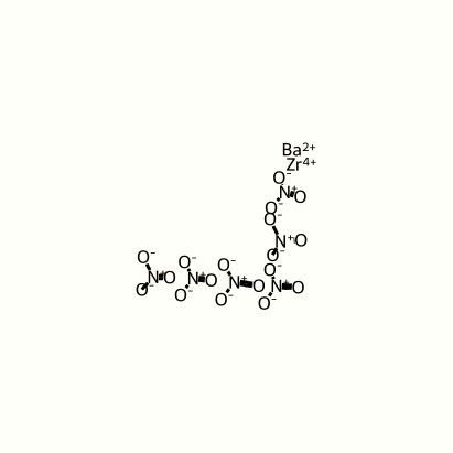 O=[N+]([O-])[O-].O=[N+]([O-])[O-].O=[N+]([O-])[O-].O=[N+]([O-])[O-].O=[N+]([O-])[O-].O=[N+]([O-])[O-].[Ba+2].[Zr+4]